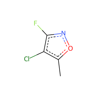 Cc1onc(F)c1Cl